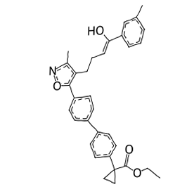 CCOC(=O)C1(c2ccc(-c3ccc(-c4onc(C)c4CC/C=C(\O)c4cccc(C)c4)cc3)cc2)CC1